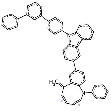 C=C1/C=C\C=C/N(c2ccccc2)c2ccc(-c3ccc4c(c3)c3ccccc3n4-c3ccc(-c4cccc(-c5ccccc5)c4)cc3)cc21